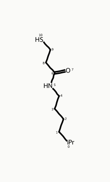 CC(C)CCCCNC(=O)CCS